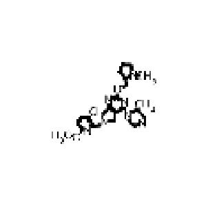 COc1ccc(Cl)c(CN2Cc3nc(OCC4CCCN4C)nc(N4CCNCC4C)c3C2)n1